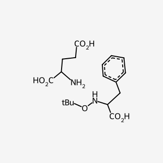 CC(C)(C)ONC(Cc1ccccc1)C(=O)O.NC(CCC(=O)O)C(=O)O